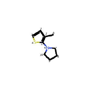 Cc1ccsc1N1CCCC1